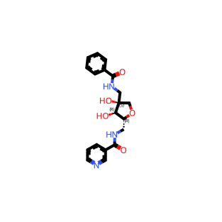 O=C(NC[C@H]1OC[C@@](O)(CNC(=O)c2ccccc2)[C@@H]1O)c1cccnc1